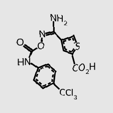 N/C(=N/OC(=O)Nc1ccc(C(Cl)(Cl)Cl)cc1)c1csc(C(=O)O)c1